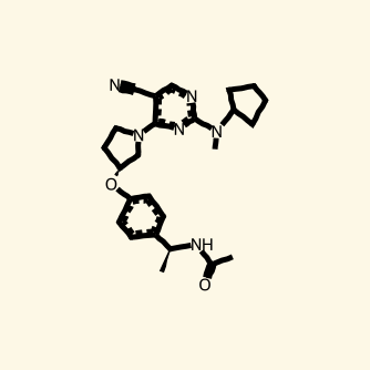 CC(=O)N[C@@H](C)c1ccc(O[C@@H]2CCN(c3nc(N(C)C4CCCC4)ncc3C#N)C2)cc1